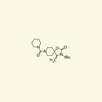 C=C1N(C(C)(C)C)C(=O)OC12CCN(C(=O)N1CCCCC1)CC2